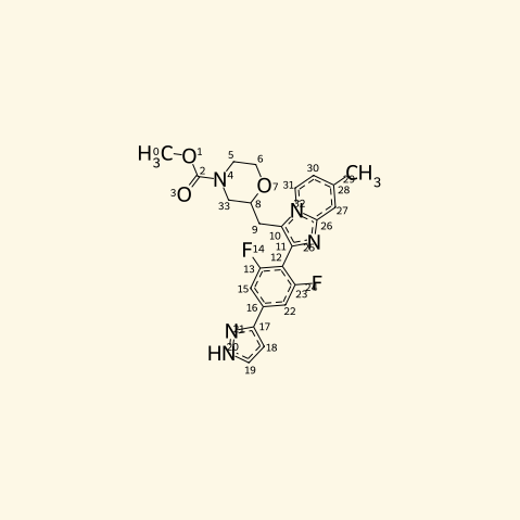 COC(=O)N1CCOC(Cc2c(-c3c(F)cc(-c4cc[nH]n4)cc3F)nc3cc(C)ccn23)C1